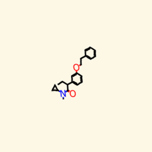 CCC(C(=O)N(C)C1CC1)c1cccc(OCCc2ccccc2)c1